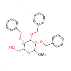 COC1OC(CO)[C@H](OCc2ccccc2)C(OCc2ccccc2)[C@@H]1OCc1ccccc1